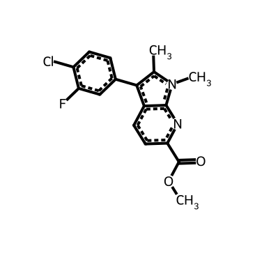 COC(=O)c1ccc2c(-c3ccc(Cl)c(F)c3)c(C)n(C)c2n1